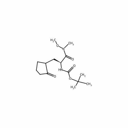 CON(C)C(=O)[C@H](CC1CCCC1=O)NC(=O)OC(C)(C)C